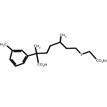 CCOC(=O)CSCCC(C)CCC(C)(C(=O)O)c1cccc(C)c1